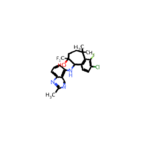 Cc1ncc2c(NC3c4ccc(Cl)c(F)c4C(C)(C)CCC3(O)C(F)(F)F)cccc2n1